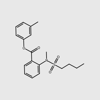 CCCCS(=O)(=O)N(C)c1ccccc1C(=O)Oc1cccc(C)c1